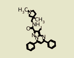 CN1CCC(C)(CNC(=O)c2nn3c(-c4ccccc4)cc(-c4ccccc4)nc3c2I)C1